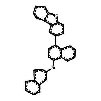 c1ccc2cc(Nc3ccc(-c4ccc5oc6ccccc6c5c4)c4ccccc34)ccc2c1